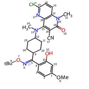 COc1ccc(/C(=N/OC(C)(C)C)C2CCC(N(C)c3c(C#N)c(=O)n(C)c4ccc(Cl)nc34)CC2)c(O)c1